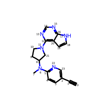 C#Cc1ccc(N(C)C2CCN(c3ncnc4[nH]ccc34)C2)nc1